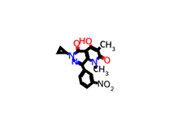 Cc1c(O)c2c(=O)n(C3CC3)nc(-c3cccc([N+](=O)[O-])c3)c2n(C)c1=O